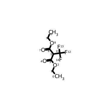 CCOC(=O)C(C(=O)OCC)C(F)(F)F